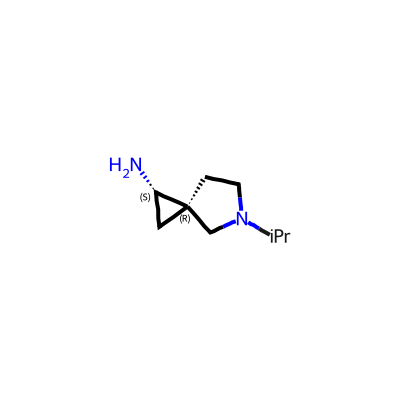 CC(C)N1CC[C@@]2(C[C@@H]2N)C1